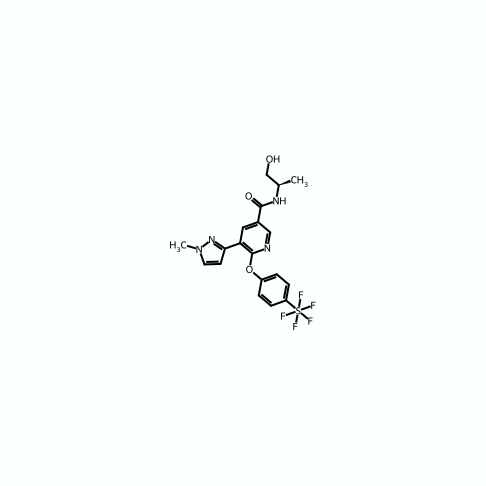 C[C@H](CO)NC(=O)c1cnc(Oc2ccc(S(F)(F)(F)(F)F)cc2)c(-c2ccn(C)n2)c1